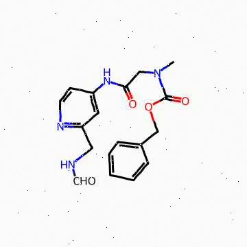 CN(CC(=O)Nc1ccnc(CNC=O)c1)C(=O)OCc1ccccc1